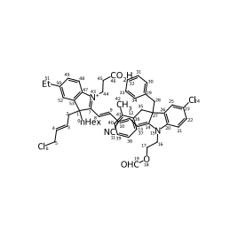 CCCCCCC1(C/C=C/CCl)C(/C=C/C(C#N)=C/C=C2/N(CCOC=O)c3ccc(Cl)cc3C2(Cc2ccccc2)Cc2ccccc2C)=[N+](CCC(=O)O)c2ccc(CC)cc21